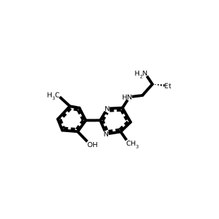 CC[C@@H](N)CNc1cc(C)nc(-c2cc(C)ccc2O)n1